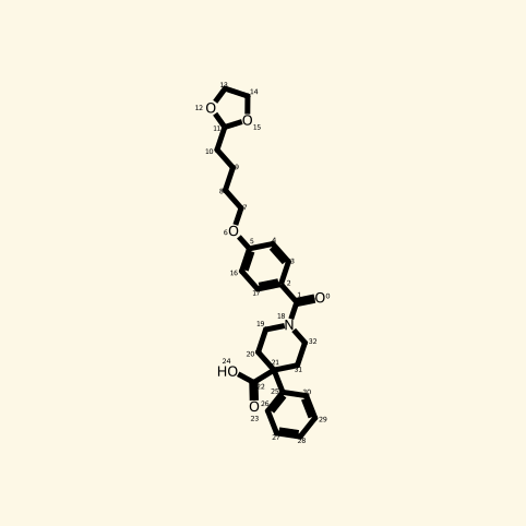 O=C(c1ccc(OCCCCC2OCCO2)cc1)N1CCC(C(=O)O)(c2ccccc2)CC1